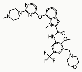 COc1c(CN2CCOCC2)cc(C(F)(F)F)cc1NC(=O)c1cc2cccc(Oc3ccnc(N4CCN(C)CC4)n3)c2n1C